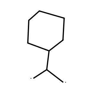 [CH2]C([CH2])C1CCCCC1